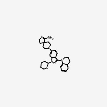 NC1=NCCC12CCN(c1cnc3c(N4CCCc5ncccc54)nn(C4CCCCO4)c3n1)CC2